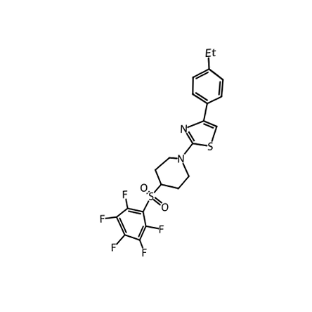 CCc1ccc(-c2csc(N3CCC(S(=O)(=O)c4c(F)c(F)c(F)c(F)c4F)CC3)n2)cc1